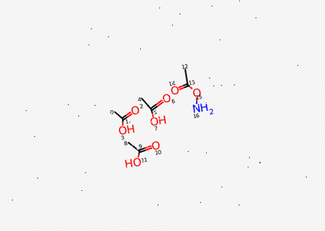 CC(=O)O.CC(=O)O.CC(=O)O.CC(=O)ON